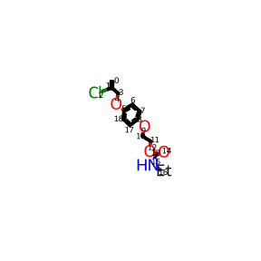 C=C(Cl)COc1ccc(OCCOC(=O)NCC)cc1